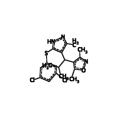 Cc1n[nH]c(Sc2cc(Cl)cc(Cl)c2)c1C(c1c(C)noc1C)C(C)C